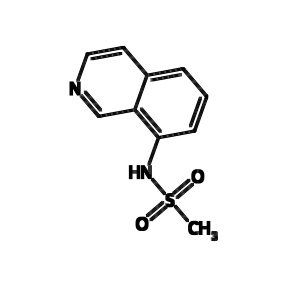 CS(=O)(=O)Nc1cccc2ccncc12